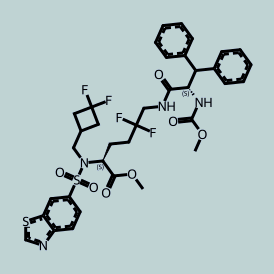 COC(=O)N[C@H](C(=O)NCC(F)(F)CC[C@@H](C(=O)OC)N(CC1CC(F)(F)C1)S(=O)(=O)c1ccc2ncsc2c1)C(c1ccccc1)c1ccccc1